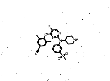 Cc1cc(C#N)cc(C)c1Oc1nc(N(c2cccc(S(C)(=O)=O)c2)C2CCNCC2)ncc1F